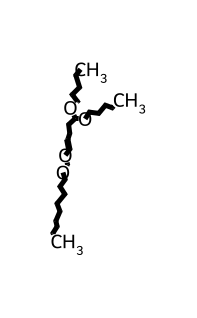 CCCCCCCCCOCOC=CCCC(OCCCCC)OCCCCC